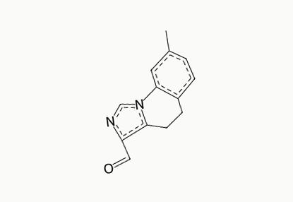 Cc1ccc2c(c1)-n1cnc(C=O)c1CC2